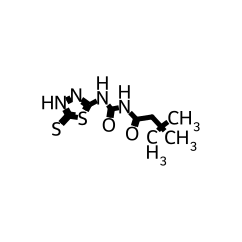 CC(C)(C)CC(=O)NC(=O)Nc1n[nH]c(=S)s1